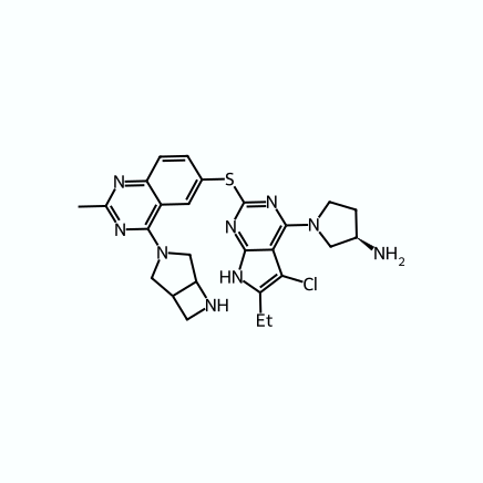 CCc1[nH]c2nc(Sc3ccc4nc(C)nc(N5CC6CNC6C5)c4c3)nc(N3CC[C@@H](N)C3)c2c1Cl